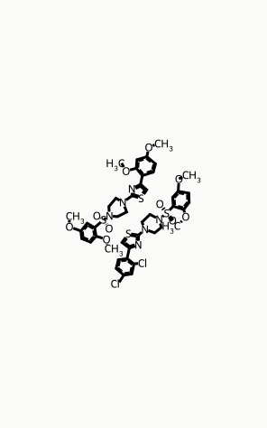 COc1ccc(-c2csc(N3CCN(S(=O)(=O)c4cc(OC)ccc4OC)CC3)n2)c(OC)c1.COc1ccc(OC)c(S(=O)(=O)N2CCN(c3nc(-c4ccc(Cl)cc4Cl)cs3)CC2)c1